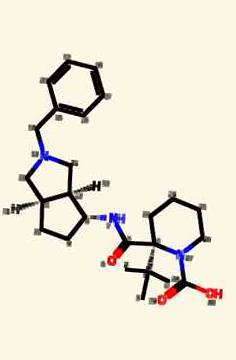 CC(C)(C)[C@]1(C(=O)N[C@@H]2CC[C@H]3CN(Cc4ccccc4)C[C@H]32)CCCCN1C(=O)O